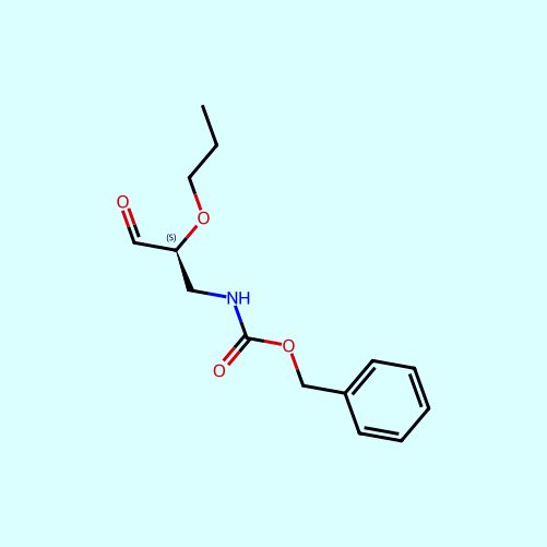 CCCO[C@H](C=O)CNC(=O)OCc1ccccc1